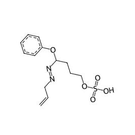 C=CCN=NC(CCCOS(=O)(=O)O)Oc1ccccc1